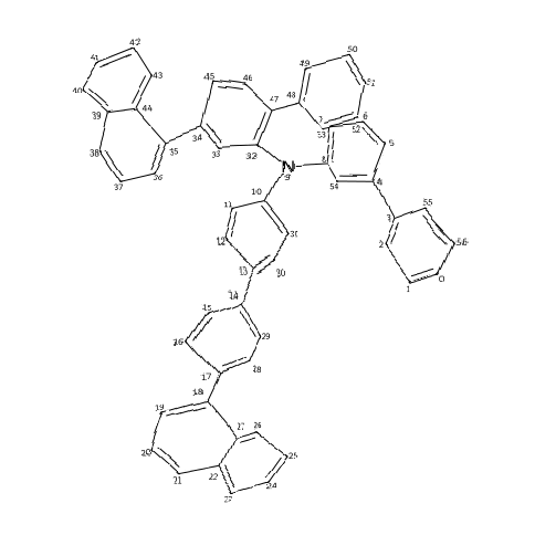 c1ccc(-c2cccc(N(c3ccc(-c4ccc(-c5cccc6ccccc56)cc4)cc3)c3cc(-c4cccc5ccccc45)ccc3-c3ccccc3)c2)cc1